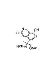 COCC(C)(N=[N+]=[N-])c1cnc(O)c2cnc(Cl)cc12